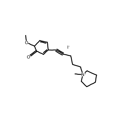 COC1C=CC(C#CCCC[N+]2(C)CCCCC2)=CC1=O.[I-]